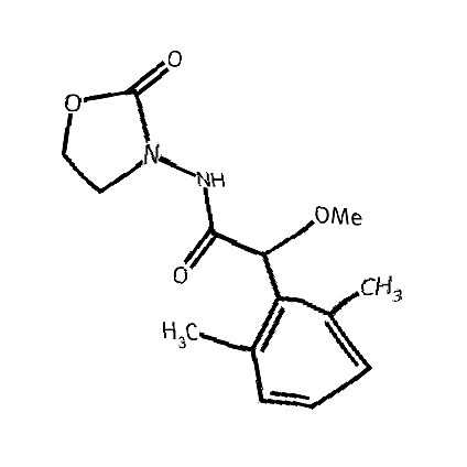 COC(C(=O)NN1CCOC1=O)c1c(C)cccc1C